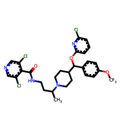 CC(CCNC(=O)c1c(Cl)cncc1Cl)N1CCC(C(Oc2cccc(Cl)n2)c2ccc(OC(F)(F)F)cc2)CC1